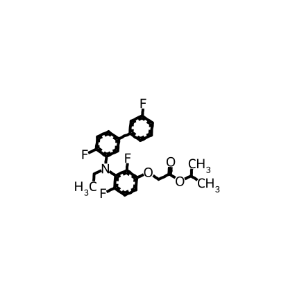 CCN(c1cc(-c2cccc(F)c2)ccc1F)c1c(F)ccc(OCC(=O)OC(C)C)c1F